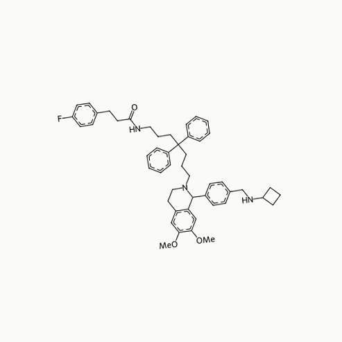 COc1cc2c(cc1OC)C(c1ccc(CNC3CCC3)cc1)N(CCCC(CCCNC(=O)CCc1ccc(F)cc1)(c1ccccc1)c1ccccc1)CC2